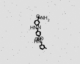 Cc1cccc(CNS(=O)(=O)c2ccc(-c3nc4cc(C(N)=O)ccc4[nH]3)cc2)c1